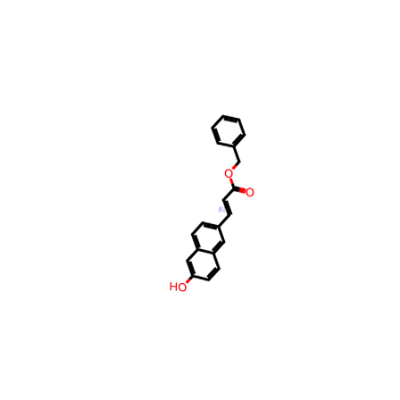 O=C(/C=C/c1ccc2cc(O)ccc2c1)OCc1ccccc1